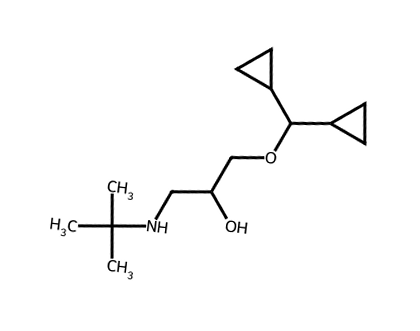 CC(C)(C)NCC(O)COC(C1CC1)C1CC1